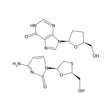 Nc1ccn([C@H]2CS[C@@H](CO)O2)c(=O)n1.O=c1[nH]cnc2c1ncn2[C@H]1CC[C@@H](CO)O1